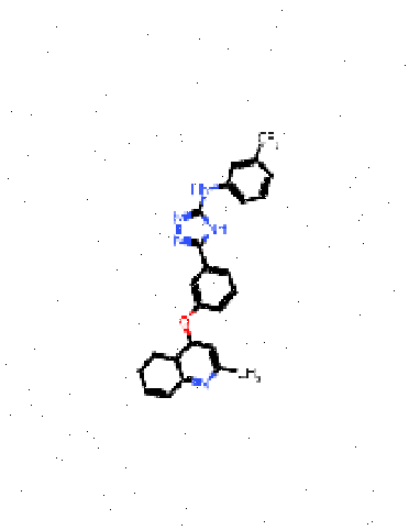 CC1=CC(Oc2cccc(-c3nnc(Nc4cccc(C(F)(F)F)c4)[nH]3)c2)C2CCC=CC2=N1